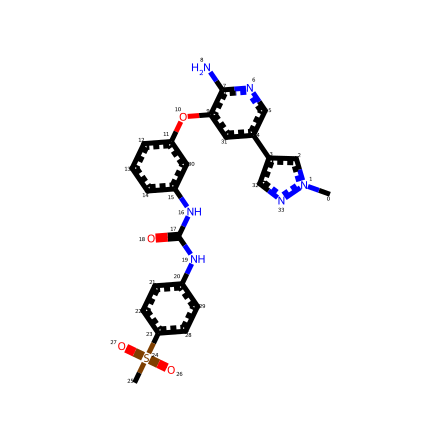 Cn1cc(-c2cnc(N)c(Oc3cccc(NC(=O)Nc4ccc(S(C)(=O)=O)cc4)c3)c2)cn1